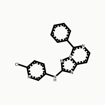 Clc1ccc(Nc2nc3ccnc(-c4ccccc4)n3n2)cn1